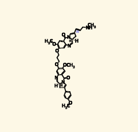 CNC/C=C/C1=CN2C(=O)c3cc(OC)c(OCCCOc4cc5c(cc4OC)C(=O)N4C=C(c6ccc(OC)cc6)C[C@H]4C=N5)cc3N=C[C@@H]2C1